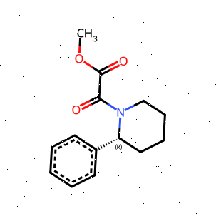 COC(=O)C(=O)N1CCCC[C@@H]1c1ccccc1